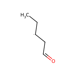 CC[CH]CC=O